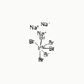 [Br][Ir-3]([Br])([Br])([Br])([Br])[Br].[Na+].[Na+].[Na+]